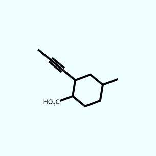 CC#CC1CC(C)CCC1C(=O)O